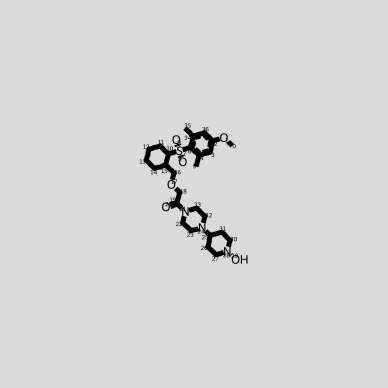 COc1cc(C)c(S(=O)(=O)C2CCCCC2COCC(=O)N2CCN(C3CCN(O)CC3)CC2)c(C)c1